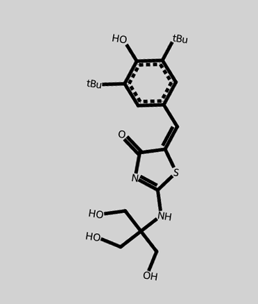 CC(C)(C)c1cc(C=C2SC(NC(CO)(CO)CO)=NC2=O)cc(C(C)(C)C)c1O